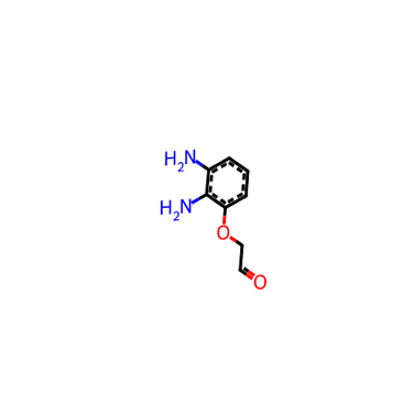 Nc1cccc(OCC=O)c1N